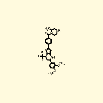 COc1ccc(C2CC(C(F)(F)F)n3nc(-c4ccc(C(=O)N5CCNCC5C)cc4)cc3N2)cc1OC